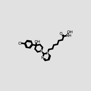 O=C(CCCCCCN1C=CC=NC1N1CCC(O)(c2ccc(Cl)cc2)CC1)NO